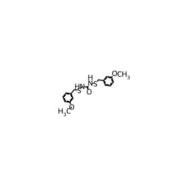 COc1cccc(CSNC(=O)NSCc2cccc(OC)c2)c1